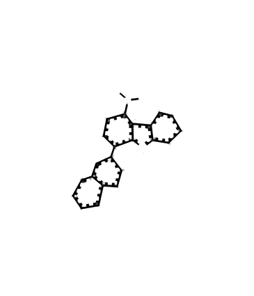 OB(O)c1ccc(-c2ccc3ccccc3c2)c2oc3ccccc3c12